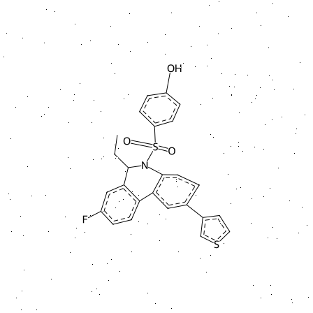 CCC1c2cc(F)ccc2-c2cc(-c3ccsc3)ccc2N1S(=O)(=O)c1ccc(O)cc1